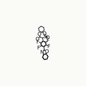 O=C1OC2(CCCCC2)O[S@](=O)C1c1c(F)c(F)c(-c2nc3ccccc3o2)c(F)c1F